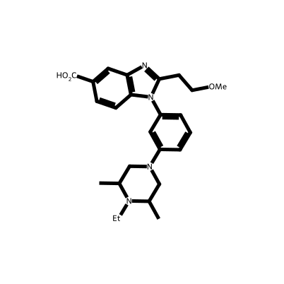 CCN1C(C)CN(c2cccc(-n3c(CCOC)nc4cc(C(=O)O)ccc43)c2)CC1C